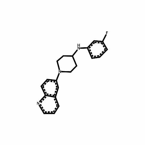 Fc1cccc(NC2CCN(c3ccc4ncccc4c3)CC2)c1